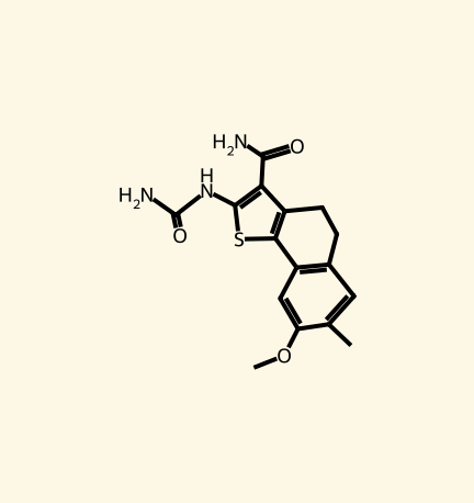 COc1cc2c(cc1C)CCc1c-2sc(NC(N)=O)c1C(N)=O